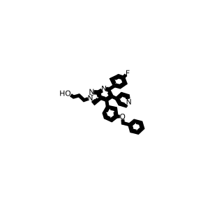 OCCCn1cc2c(-c3cccc(OCc4ccccc4)c3)c(-c3ccncc3)c(-c3ccc(F)cc3)nc2n1